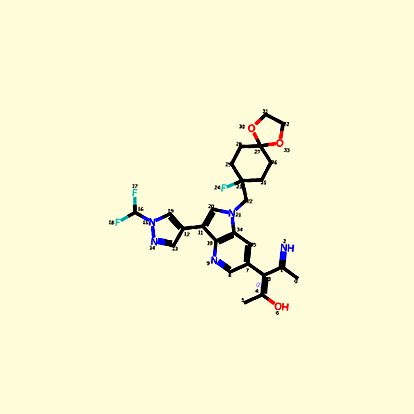 CC(=N)/C(=C(/C)O)c1cnc2c(-c3cnn(C(F)F)c3)cn(CC3(F)CCC4(CC3)OCCO4)c2c1